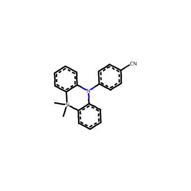 C[Si]1(C)c2ccccc2N(c2ccc(C#N)cc2)c2ccccc21